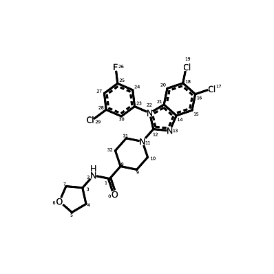 O=C(NC1CCOC1)C1CCN(c2nc3cc(Cl)c(Cl)cc3n2-c2cc(F)cc(Cl)c2)CC1